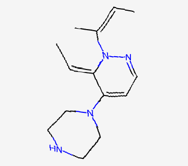 C/C=C(/C)N1N=CC=C(N2CCNCC2)/C1=C/C